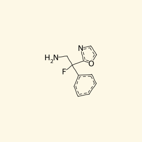 NCC(F)(c1ccccc1)c1ncco1